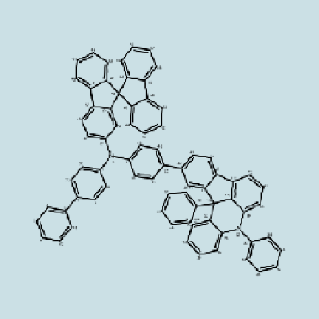 c1ccc(-c2ccc(N(c3ccc(-c4ccc5c(c4)C4(c6ccccc6)c6ccccc6N(c6ccccc6)c6cccc-5c64)cc3)c3ccc4c(c3)C3(c5ccccc5-c5ccccc53)c3ccccc3-4)cc2)cc1